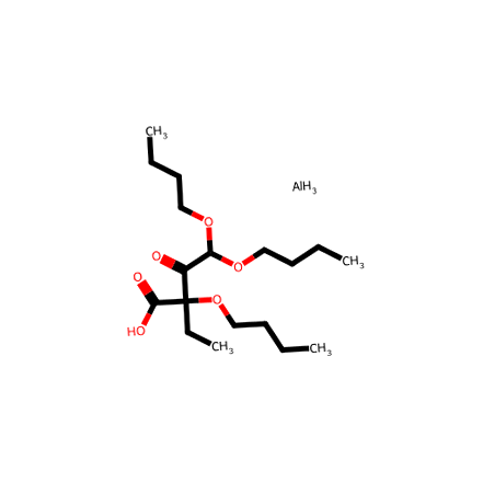 CCCCOC(OCCCC)C(=O)C(CC)(OCCCC)C(=O)O.[AlH3]